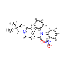 CC(C)(C)CN1CCC2(CC1)CCN(c1ccccc1[N+](=O)[O-])c1ccccc12